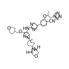 CC(Cn1cnnn1)Oc1cc(-c2cnc(Nc3cn(C4CCC(N5[C@@H]6CC[C@H]5COC6)CC4)nc3OCC3CCOCC3)nc2)ccc1C#N